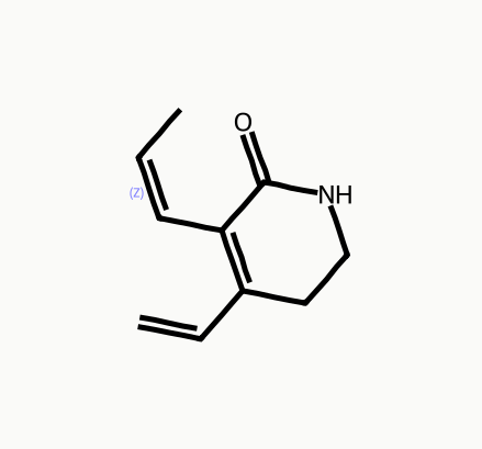 C=CC1=C(/C=C\C)C(=O)NCC1